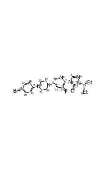 CCC(CC)n1ncn(-c2ncc(N3CCN(c4ccc(Br)cc4)CC3)cc2F)c1=O